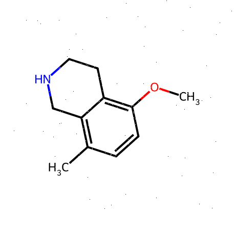 COc1ccc(C)c2c1CCNC2